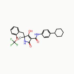 CC1(Cc2ccccc2OC(F)(F)F)NC(=O)C(C(=O)Nc2ccc(C3CCCCC3)cc2)=C1O